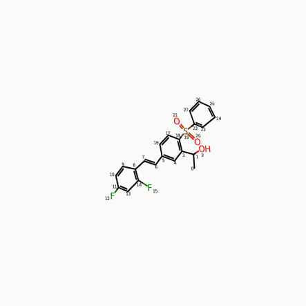 CC(O)c1cc(C=Cc2ccc(F)cc2F)ccc1S(=O)(=O)c1ccccc1